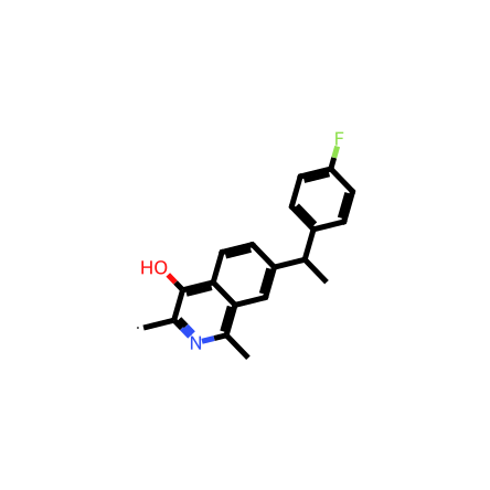 [CH2]c1nc(C)c2cc(C(C)c3ccc(F)cc3)ccc2c1O